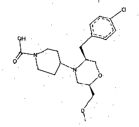 COC[C@H]1CN(C2CCN(C(=O)O)CC2)[C@@H](Cc2ccc(Cl)cc2)CO1